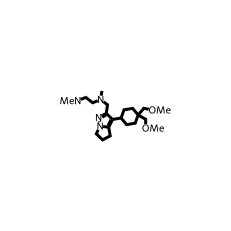 CNCCN(C)Cc1nn2c(c1C1CCC(COC)(COC)CC1)CCC2